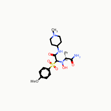 COc1ccc(S(=O)(=O)C(C(=O)NC2CCN(C)CC2)N(O)[C@@H](C(N)=O)C(C)C)cc1